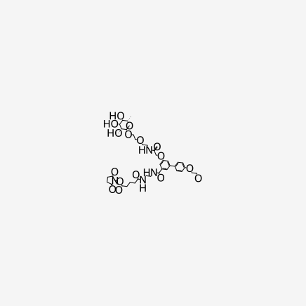 C[C@@H]1O[C@@H](OCCOCCNC(=O)COc2cc(C(=O)NCCNC(=O)CCCC(=O)ON3C(=O)CCC3=O)cc(-c3ccc(OCC=O)cc3)c2)[C@H](O)[C@H](O)[C@H]1O